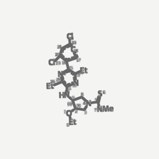 CCO[C@@H]1CN(C(=S)NC)C[C@@H]1Nc1nc(CC)c(-c2ccc(Cl)cc2Cl)nc1CC